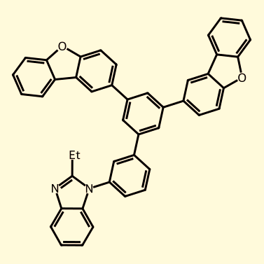 CCc1nc2ccccc2n1-c1cccc(-c2cc(-c3ccc4oc5ccccc5c4c3)cc(-c3ccc4oc5ccccc5c4c3)c2)c1